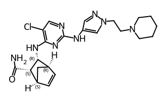 NC(=O)[C@@H]1[C@H](Nc2nc(Nc3cnn(CCN4CCCCC4)c3)ncc2Cl)[C@H]2C=C[C@@H]1C2